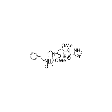 CC[C@H](C)[C@@H]([C@@H](CC(=O)N1CCC[C@H]1[C@H](OC)[C@@H](C)C(=O)NCCc1ccccc1)OC)N(C)C(=O)[C@@H](N)C(C)C